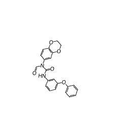 O=CN(C(=O)Nc1cccc(Oc2ccccc2)c1)c1ccc2c(c1)OCCO2